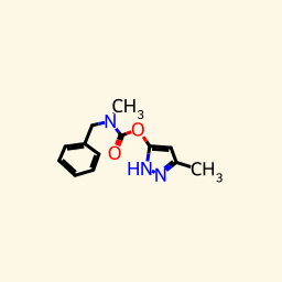 Cc1cc(OC(=O)N(C)Cc2ccccc2)[nH]n1